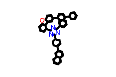 C1=C(c2ccc3ccccc3c2)CCC(c2nc(-c3ccccc3)nc(-c3cccc4oc5ccc(-c6ccc(-c7ccccc7)cc6)cc5c34)n2)=C1